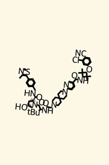 Cc1ncsc1-c1ccc(CNC(=O)[C@@H]2C[C@@H](O)CN2C(=O)C(NC(=O)CN2CCC3(CC2)CCN(c2ccc(C(=O)NC4C(C)(C)C(Oc5ccc(C#N)c(Cl)c5)C4(C)C)cn2)CC3)C(C)(C)C)cc1